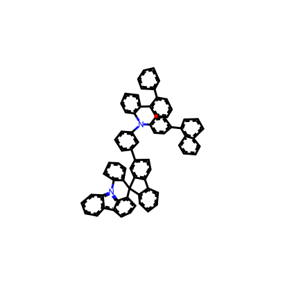 c1ccc(-c2ccccc2-c2ccccc2N(c2ccc(-c3cccc4ccccc34)cc2)c2cccc(-c3ccc4c(c3)C3(c5ccccc5-4)c4ccccc4-n4c5ccccc5c5cccc3c54)c2)cc1